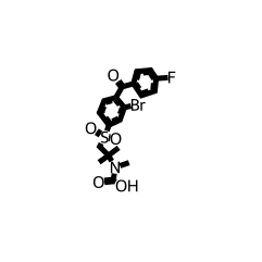 CN(C(=O)O)C(C)(C)CS(=O)(=O)c1ccc(C(=O)c2ccc(F)cc2)c(Br)c1